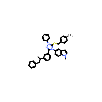 CC(Cc1ccccc1)c1cccc(C2=NN(c3ccccc3)C(SCc3ccc(C(F)(F)F)cc3)N2c2ccc3c(ccn3C)c2)c1